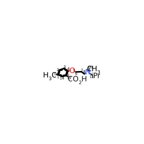 Cc1ccc(OCCCN(C)C(C)C)c(C(=O)O)c1